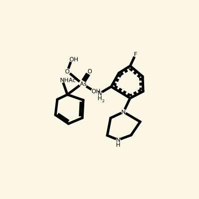 CC(=O)NC1([As](=O)(O)OO)C=CC=CC1.Nc1cc(F)ccc1N1CCNCC1